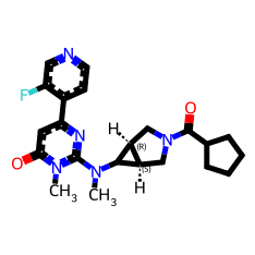 CN(c1nc(-c2ccncc2F)cc(=O)n1C)C1[C@H]2CN(C(=O)C3CCCC3)C[C@@H]12